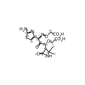 CC1(C)NC(=O)C1N(OCC(=O)O)C(=O)/C(=N\OCC(=O)O)c1csc(N)n1